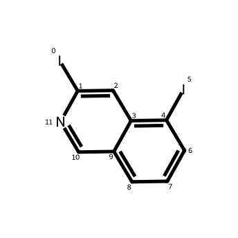 Ic1cc2c(I)cccc2cn1